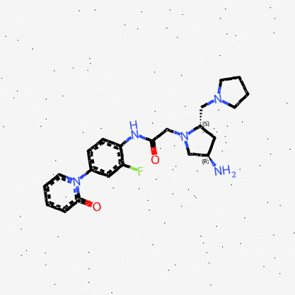 N[C@@H]1C[C@@H](CN2CCCC2)N(CC(=O)Nc2ccc(-n3ccccc3=O)cc2F)C1